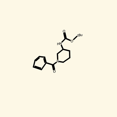 CC(C)(C)OC(=O)NC1CCCN(C(=O)c2ccccc2)C1